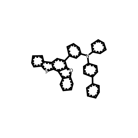 c1ccc(-c2ccc(N(c3ccccc3)c3cccc(-c4cc5c6ccccc6sc5c5c4oc4ccccc45)c3)cc2)cc1